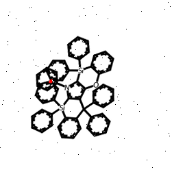 c1ccc(-n2c3c(c4c2[Si](c2ccccc2)(c2ccccc2)c2ccccc2C4(c2ccccc2)c2ccccc2)Oc2ccccc2[Si]3(c2ccccc2)c2ccccc2)cc1